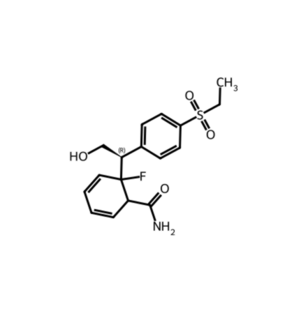 CCS(=O)(=O)c1ccc([C@H](CO)C2(F)C=CC=CC2C(N)=O)cc1